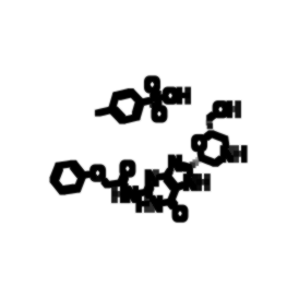 Cc1ccc(S(=O)(=O)O)cc1.O=C(COc1ccccc1)Nc1nc2nc([C@H]3CNC[C@@H](CO)O3)[nH]c2c(=O)[nH]1